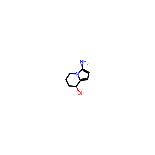 Nc1ccc2n1CCC[C@@H]2O